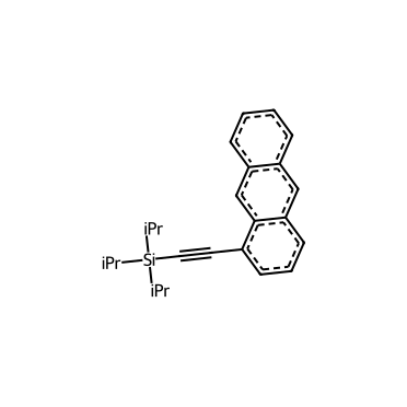 CC(C)[Si](C#Cc1cccc2cc3ccccc3cc12)(C(C)C)C(C)C